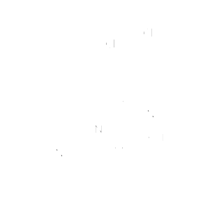 Cc1nc(-c2ccc(Cl)c(Cl)c2)sc1C(=O)NCCN1CCCC1